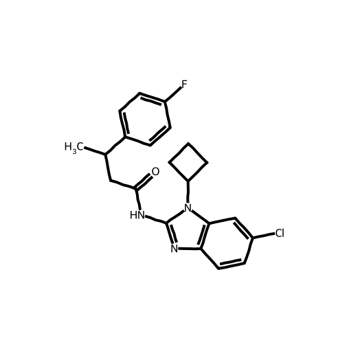 CC(CC(=O)Nc1nc2ccc(Cl)cc2n1C1CCC1)c1ccc(F)cc1